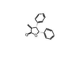 C=C1C(=O)O[C@@H](c2ccccc2)[C@H]1c1ccccc1